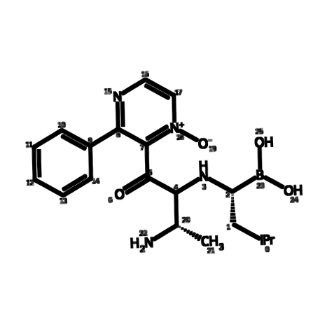 CC(C)C[C@H](NC(C(=O)c1c(-c2ccccc2)ncc[n+]1[O-])[C@H](C)N)B(O)O